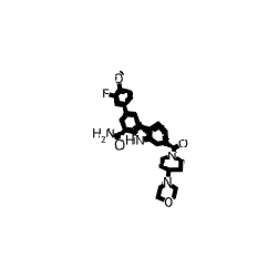 COc1ccc(-c2cc(C(N)=O)c3[nH]c4cc(C(=O)N5CCC(N6CCOCC6)CC5)ccc4c3c2)cc1F